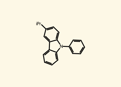 CC(C)c1ccc2c(c1)c1ccccc1n2-c1ccccc1